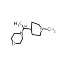 C[C@@H](C1CCN(C)CC1)N1CCOCC1